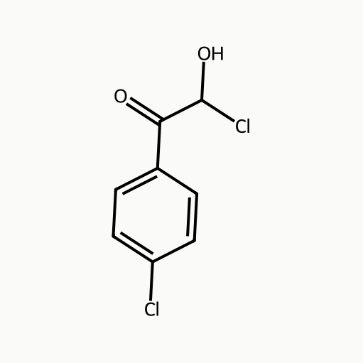 O=C(c1ccc(Cl)cc1)C(O)Cl